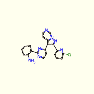 Nc1ccccc1-c1nccc(-c2c(-c3cccc(Cl)n3)nn3cnccc23)n1